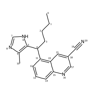 CCCCC(c1[nH]cnc1C)c1cccc2ncc(C#N)cc12